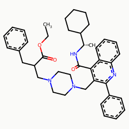 CCOC(=O)C(Cc1ccccc1)CN1CCN(Cc2c(-c3ccccc3)nc3ccccc3c2C(=O)N[C@@H](C)C2CCCCC2)CC1